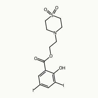 O=C(OCCN1CCS(=O)(=O)CC1)c1cc(I)cc(I)c1O